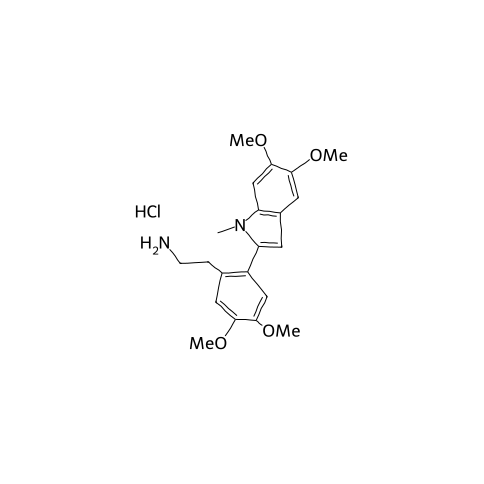 COc1cc(CCN)c(-c2cc3cc(OC)c(OC)cc3n2C)cc1OC.Cl